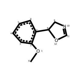 COc1ccccc1C1CN=CO1